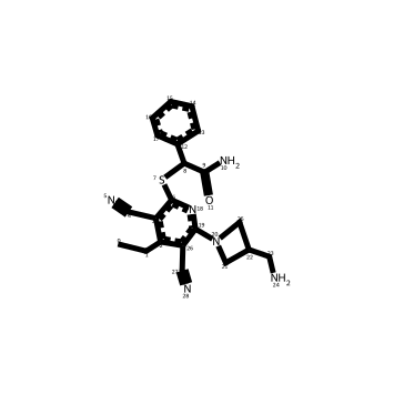 CCc1c(C#N)c(SC(C(N)=O)c2ccccc2)nc(N2CC(CN)C2)c1C#N